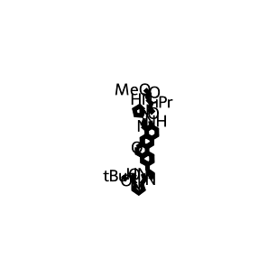 COC(=O)N[C@H](C(=O)N1CCC[C@H]1c1nc2c([nH]1)CCc1cc3c(cc1-2)OCc1cc(-c2cnc(C4CCCN4C(=O)OC(C)(C)C)[nH]2)ccc1-3)C(C)C